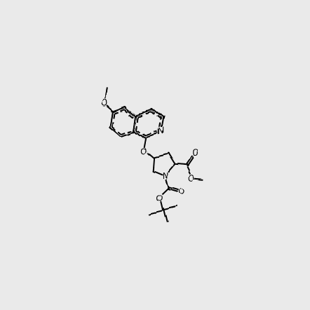 COC(=O)C1CC(Oc2nccc3cc(OC)ccc23)CN1C(=O)OC(C)(C)C